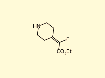 CCOC(=O)C(F)=C1CCNCC1